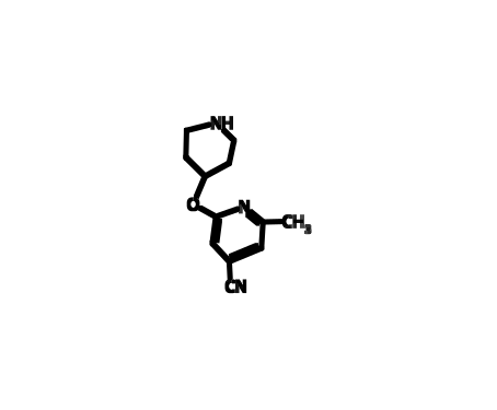 Cc1cc(C#N)cc(OC2CCNCC2)n1